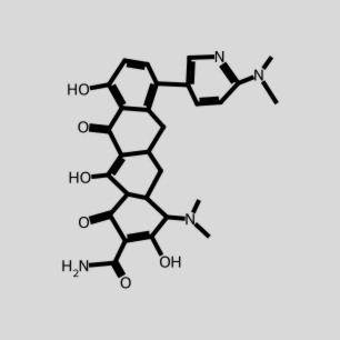 CN(C)c1ccc(-c2ccc(O)c3c2CC2CC4C(C(=O)C(C(N)=O)=C(O)C4N(C)C)C(O)=C2C3=O)cn1